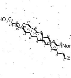 CCC=CCC=CCC=CCC=CCC=CCCCC(=O)O.CCCCCCCCCC=CC=CC=CC=CC=CC(=O)O